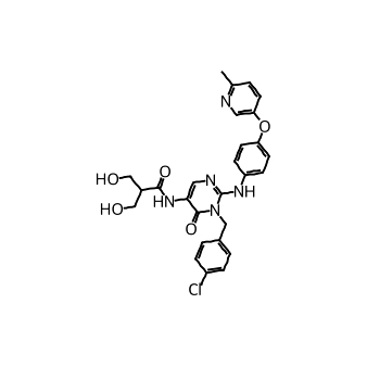 Cc1ccc(Oc2ccc(Nc3ncc(NC(=O)C(CO)CO)c(=O)n3Cc3ccc(Cl)cc3)cc2)cn1